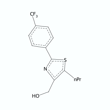 CCCc1sc(-c2ccc(C(F)(F)F)cc2)nc1CO